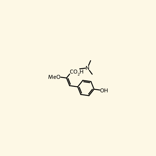 CN(C)C.COC(=Cc1ccc(O)cc1)C(=O)O